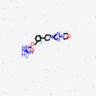 N=C(N)NC(=O)OCc1cccc(C2CCN(c3cnc(N4CCOCC4)nc3)CC2)c1F